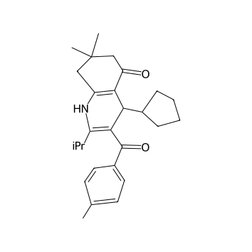 Cc1ccc(C(=O)C2=C(C(C)C)NC3=C(C(=O)CC(C)(C)C3)C2C2CCCC2)cc1